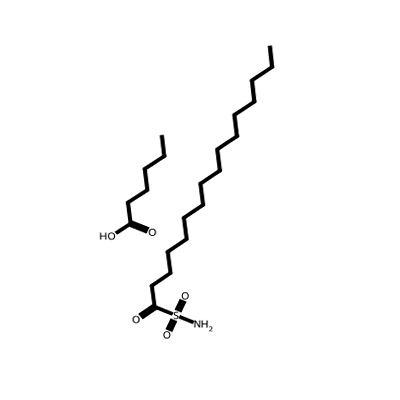 CCCCCC(=O)O.CCCCCCCCCCCCCCCC(=O)S(N)(=O)=O